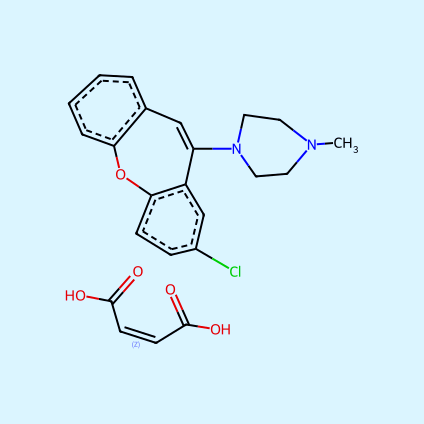 CN1CCN(C2=Cc3ccccc3Oc3ccc(Cl)cc32)CC1.O=C(O)/C=C\C(=O)O